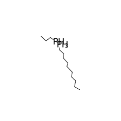 CCCCCCCCCCP[PH3]CCC